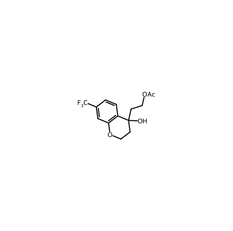 CC(=O)OCCC1(O)CCOc2cc(C(F)(F)F)ccc21